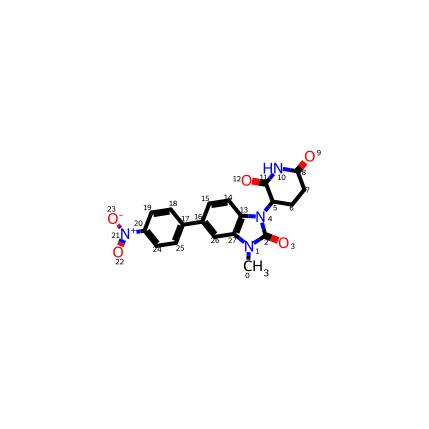 Cn1c(=O)n(C2CCC(=O)NC2=O)c2ccc(-c3ccc([N+](=O)[O-])cc3)cc21